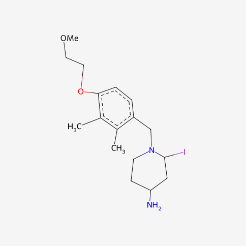 COCCOc1ccc(CN2CCC(N)CC2I)c(C)c1C